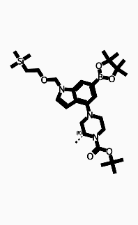 C[C@@H]1CN(c2cc(B3OC(C)(C)C(C)(C)O3)cc3c2ccn3COCC[Si](C)(C)C)CCN1C(=O)OC(C)(C)C